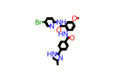 COc1ccc(NC(=O)c2ccc(C3=NC(C)CN3)cc2)c(C(=O)Nc2ccc(Br)cn2)c1